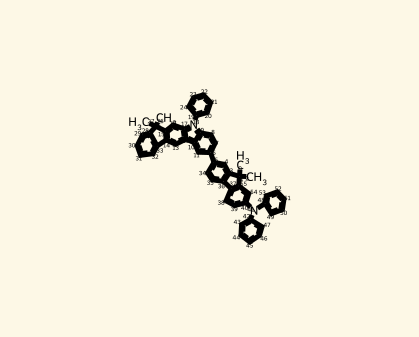 CC1(C)c2cc(-c3ccc4c(c3)c3cc5c(cc3n4-c3ccccc3)C(C)(C)c3ccccc3-5)ccc2-c2ccc(N(c3ccccc3)c3ccccc3)cc21